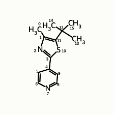 Cc1nc(-c2ccncc2)sc1C(C)(C)C